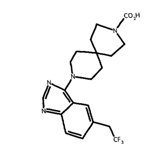 O=C(O)N1CCC2(CC1)CCN(c1ncnc3ccc(CC(F)(F)F)cc13)CC2